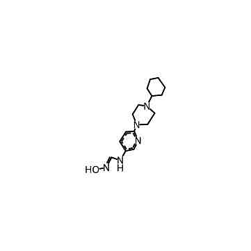 O/N=C/Nc1ccc(N2CCN(C3CCCCC3)CC2)nc1